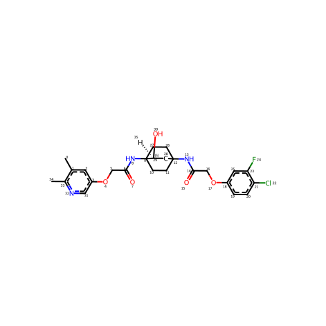 Cc1cc(OCC(=O)NC23CCC(NC(=O)COc4ccc(Cl)c(F)c4)(CC2)C[C@@H]3O)cnc1C